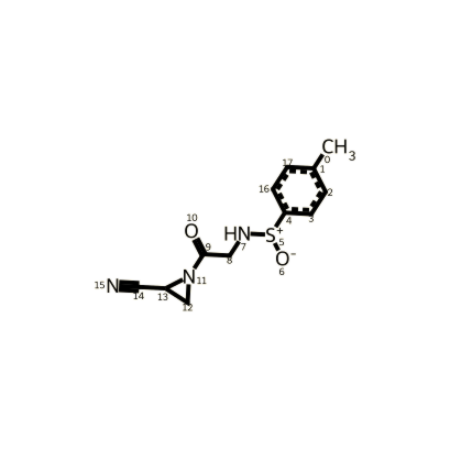 Cc1ccc([S+]([O-])NCC(=O)N2CC2C#N)cc1